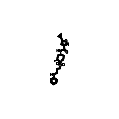 C[C@H]1C[C@@H](NC(=O)c2cc(C3CC3)on2)CCN1S(=O)(=O)CCCNc1ccccc1